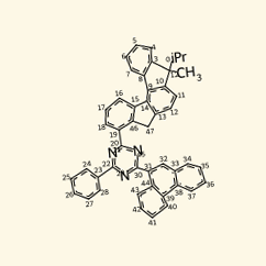 CC(C)C1(C)c2ccccc2-c2c1ccc1c2-c2cccc(-c3nc(-c4ccccc4)nc(-c4cc5ccccc5c5ccccc45)n3)c2C1